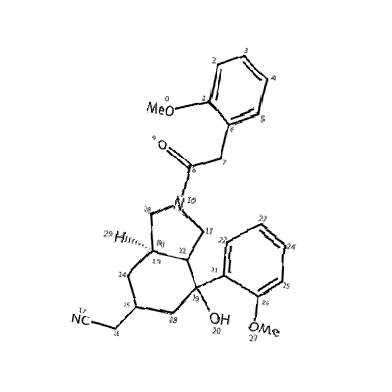 COc1ccccc1CC(=O)N1CC2[C@@H](CC(CC#N)CC2(O)c2ccccc2OC)C1